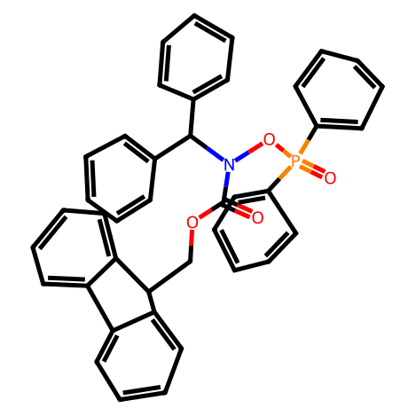 O=C(OCC1c2ccccc2-c2ccccc21)N(OP(=O)(c1ccccc1)c1ccccc1)C(c1ccccc1)c1ccccc1